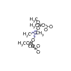 C=C/C=C(/C=C/c1ccc(N(c2ccc(C=C(c3ccccc3)c3ccccc3)cc2)c2ccc(C)cc2C)cc1)C(=C/C)\C=C\c1ccc(N(c2ccc(C=C(c3ccccc3)c3ccccc3)cc2)c2ccc(C)cc2C)cc1